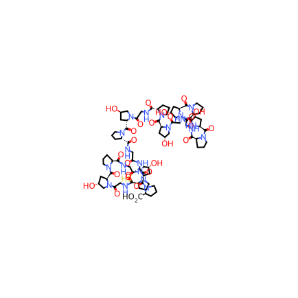 O=C(CNC(=O)[C@@H]1CCCN1C(=O)[C@@H]1C[C@@H](O)CN1C(=O)CNC(=O)[C@@H]1CCCN1C(=O)[C@@H]1C[C@@H](O)CN1C(=O)CNC(=O)[C@@H]1CCCN1C(=O)[C@@H]1C[C@@H](O)CN1C(=O)CNC(=O)[C@@H]1CCCN1C(=O)[C@@H]1C[C@@H](O)CN1)N[C@@H](CS)C(=O)N1CCC[C@H]1C(=O)NCC(=O)N1C[C@H](O)C[C@H]1C(=O)N1CCC[C@H]1C(=O)NCC(=O)N1C[C@H](O)C[C@H]1C(=O)N1CCC[C@H]1C(=O)O